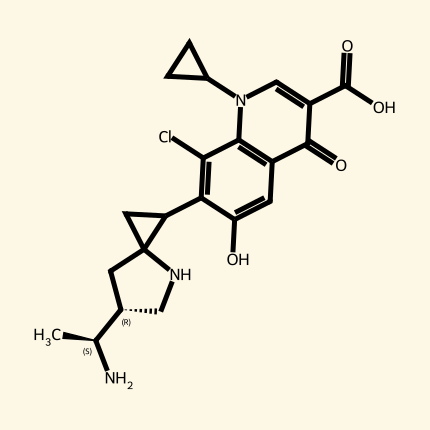 C[C@H](N)[C@H]1CNC2(CC2c2c(O)cc3c(=O)c(C(=O)O)cn(C4CC4)c3c2Cl)C1